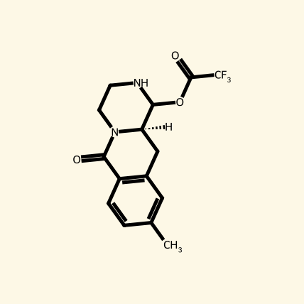 Cc1ccc2c(c1)C[C@@H]1C(OC(=O)C(F)(F)F)NCCN1C2=O